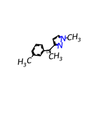 Cc1cccc([C@H](C)c2ccn(C)n2)c1